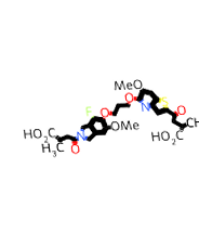 COc1cc2sc(C(=O)CC(C)C(=O)O)cc2nc1OCCCOc1c(OC)cc2c(c1F)CN(C(=O)CC(C)C(=O)O)C2